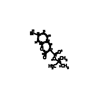 CC(C)(C)OC(=O)c1cc2ccc(Br)cc2oc1=O